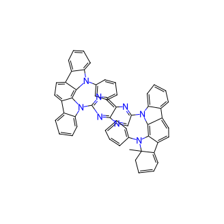 CC12CC=CC=C1c1ccc3c4ccccc4n(-c4cnc5nc(-n6c7ccccc7c7ccc8c9ccccc9n(-c9ccccc9)c8c76)ncc5n4)c3c1N2c1ccccc1